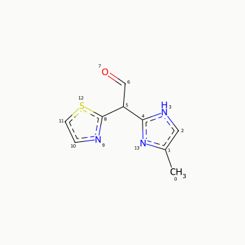 Cc1c[nH]c(C(C=O)c2nccs2)n1